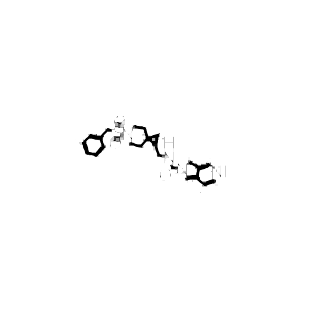 O=C(NCC1CC12CCN(S(=O)(=O)Cc1ccccc1)CC2)N1C=C2C=CNC=C2C1